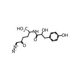 [N-]=[N+]=CC(=O)CCC(NC(=O)C(O)Cc1ccc(O)cc1)C(=O)O